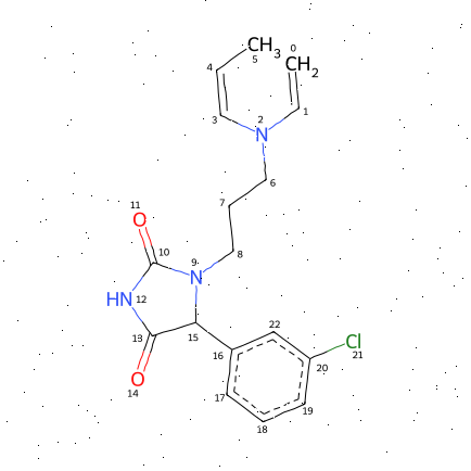 C=CN(/C=C\C)CCCN1C(=O)NC(=O)C1c1cccc(Cl)c1